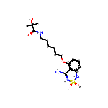 CC(C)(O)C(=O)NCCCCCCOc1cccc2c1C(N)=NS(=O)(=O)N2